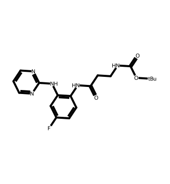 CC(C)(C)OC(=O)NCCC(=O)Nc1ccc(F)cc1Nc1ncccn1